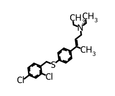 CCN(CC)CC=C(C)c1ccc(SCc2ccc(Cl)cc2Cl)cc1